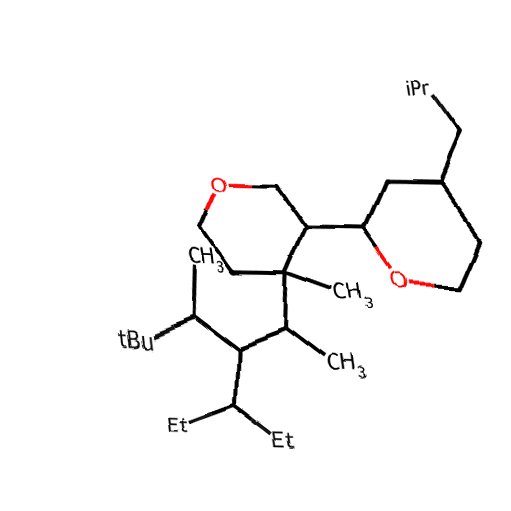 CCC(CC)C(C(C)C(C)(C)C)C(C)C1(C)CCOCC1C1CC(CC(C)C)CCO1